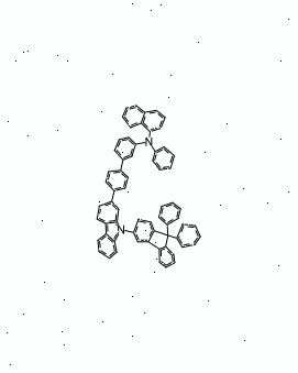 c1ccc(N(c2cccc(-c3ccc(-c4ccc5c6ccccc6n(-c6ccc7c(c6)-c6ccccc6C7(c6ccccc6)c6ccccc6)c5c4)cc3)c2)c2cccc3ccccc23)cc1